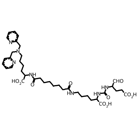 O=CC(CCC(=O)O)NC(=O)NC(CCCCNC(=O)CCCCCCC(=O)NC(CCCCN(Cc1ccccn1)Cc1ccccn1)C(=O)O)C(=O)O